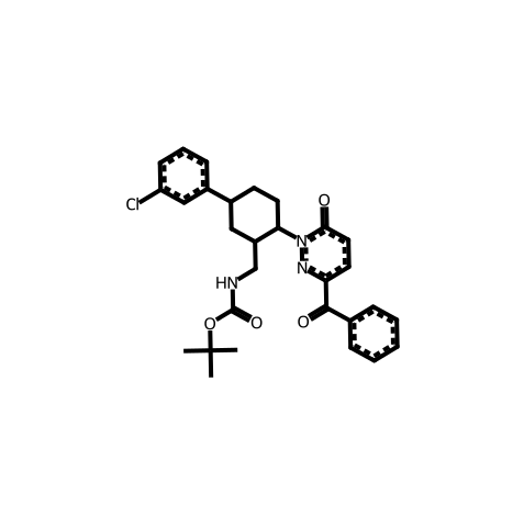 CC(C)(C)OC(=O)NCC1CC(c2cccc(Cl)c2)CCC1n1nc(C(=O)c2ccccc2)ccc1=O